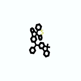 CC1(C)c2ccccc2-c2cc(C(c3ccccc3)c3ccc4c(c3)C3(c5ccccc5Sc5ccccc53)c3ccccc3-4)ccc21